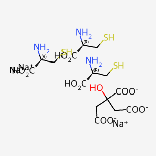 N[C@@H](CS)C(=O)O.N[C@@H](CS)C(=O)O.N[C@@H](CS)C(=O)O.O=C([O-])CC(O)(CC(=O)[O-])C(=O)[O-].[Na+].[Na+].[Na+]